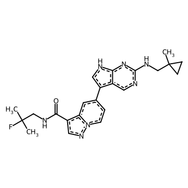 CC(C)(F)CNC(=O)c1cnn2ccc(-c3c[nH]c4nc(NCC5(C)CC5)ncc34)cc12